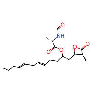 CCC/C=C/C/C=C/CCC(CC1OC(=O)[C@H]1C)OC(=O)[C@H](C)NC=O